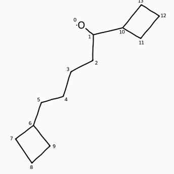 [O]C(CCCCC1CCC1)C1CCC1